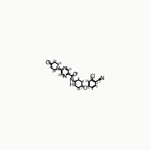 N#Cc1ccc(OC2CCC(NC(=O)c3cnc(N4CCC(=O)CC4)cn3)CC2)cc1Cl